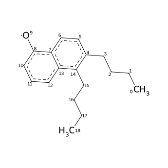 CCCCc1ccc2c([O])cccc2c1CCCC